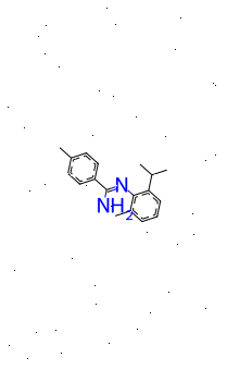 Cc1ccc(C(N)=Nc2c(C)cccc2C(C)C)cc1